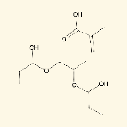 C=C(C)C(=O)O.CCC(O)OCC(C)OC(O)CC